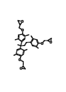 Cc1cc(OCC2CO2)c(C)cc1CCC(C)(c1cc(C)c(OCC2CO2)cc1C)c1cc(C)c(OCC2CO2)cc1C